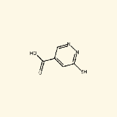 O=C(O)c1cnnc(S)c1